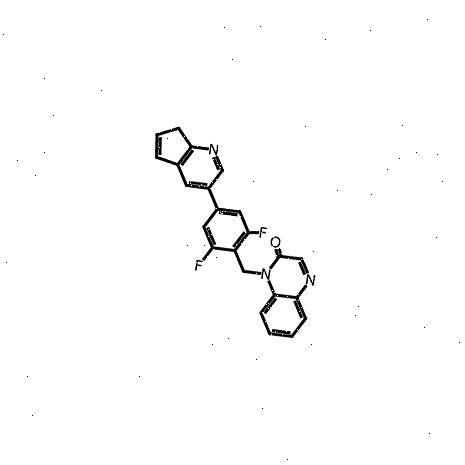 O=c1cnc2ccccc2n1Cc1c(F)cc(-c2cnc3c(c2)C=CC3)cc1F